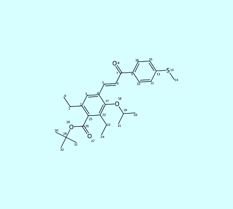 CCc1cc(/C=C/C(=O)c2ccc(SC)cc2)c(OC(C)C)c(CC)c1C(=O)OC(C)(C)C